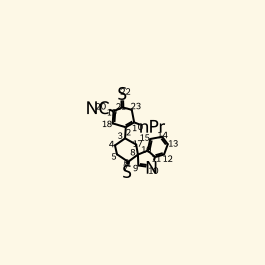 CCCC1=C(C2CCC(=S)C3(C=Nc4ccccc43)C2)C=C(C#N)C(=S)C1